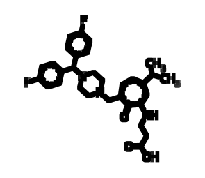 CC(C)c1ccc(CN2CCN(C(c3ccc(F)cc3)c3ccc(F)cc3)CC2)c(=O)c(NCCC(=O)O)c1